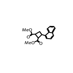 COC(=O)C1CC(c2cccc3ccccc23)C1C(=O)OC